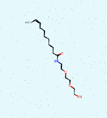 CCCCCCCC/C=C\CCCCCCCC(=O)NCCOCCOCCO